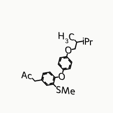 CSc1cc(CC(C)=O)ccc1Oc1ccc(OCC(C)C(C)C)cc1